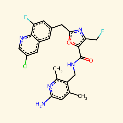 Cc1cc(N)nc(C)c1CNC(=O)c1oc(Cc2cc(F)c3ncc(Cl)cc3c2)nc1CF